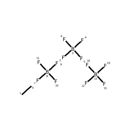 CC.F[B-](F)(F)F.F[B-](F)(F)F.F[B-](F)(F)F